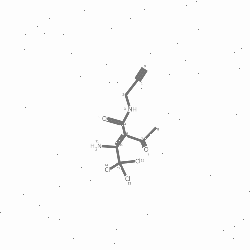 C#CCNC(=O)/C(C(C)=O)=C(\N)C(Cl)(Cl)Cl